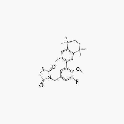 COc1c(F)cc(CN2C(=O)CSC2=O)cc1-c1cc2c(cc1C)C(C)(C)CCC2(C)C